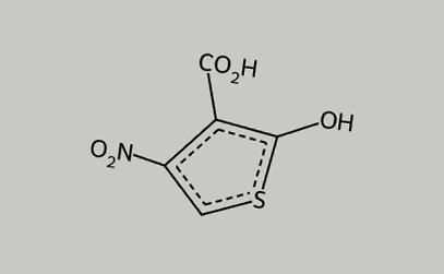 O=C(O)c1c([N+](=O)[O-])csc1O